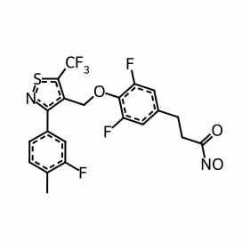 Cc1ccc(-c2nsc(C(F)(F)F)c2COc2c(F)cc(CCC(=O)N=O)cc2F)cc1F